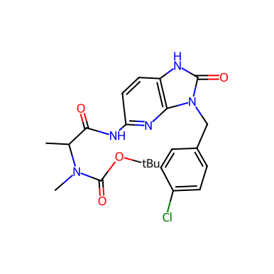 CC(C(=O)Nc1ccc2[nH]c(=O)n(Cc3ccc(Cl)cc3)c2n1)N(C)C(=O)OC(C)(C)C